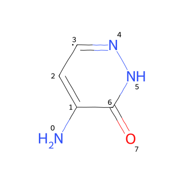 Nc1c[c]n[nH]c1=O